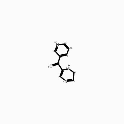 O=C(C1=CN=CCN1)c1cccnc1